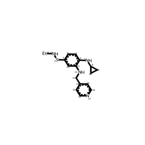 CCNSc1ccc(NC2CC2)c(NCc2ccncc2)c1